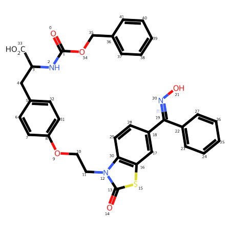 O=C(NC(Cc1ccc(OCCn2c(=O)sc3cc(/C(=N/O)c4ccccc4)ccc32)cc1)C(=O)O)OCc1ccccc1